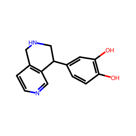 Oc1ccc(C2CNCc3ccncc32)cc1O